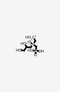 O=C(O)C[N+]([O-])(CC(O)CO)CP(=O)(O)O